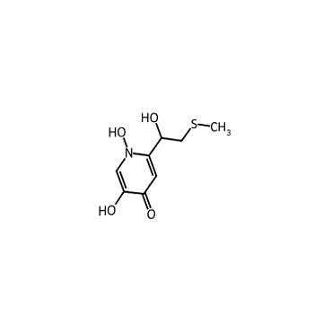 CSCC(O)c1cc(=O)c(O)cn1O